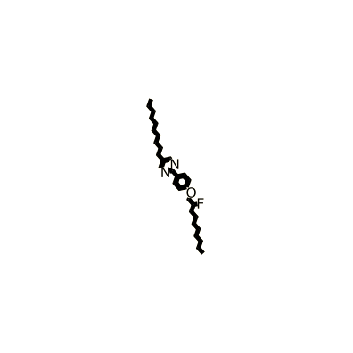 CCCCCCCCCCc1cnc(-c2ccc(OCC(F)CCCCCCCC)cc2)nc1